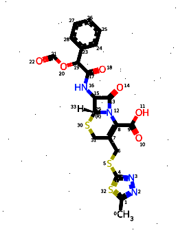 Cc1nnc(SCC2=C(C(=O)O)N3C(=O)C(NC(=O)C(OC=O)c4ccccc4)[C@H]3SC2)s1